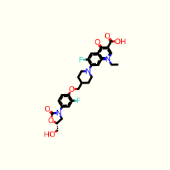 CCn1cc(C(=O)O)c(=O)c2cc(F)c(N3CCC(COc4ccc(N5C[C@H](CO)OC5=O)cc4F)CC3)cc21